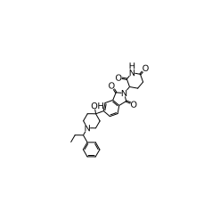 CCC(c1ccccc1)N1CCC(O)(c2ccc3c(c2)C(=O)N(C2CCC(=O)NC2=O)C3=O)CC1